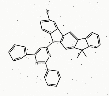 CC1(C)c2ccccc2-c2cc3c4cc(Br)ccc4n(-c4cc(-c5ccccc5)nc(-c5ccccc5)n4)c3cc21